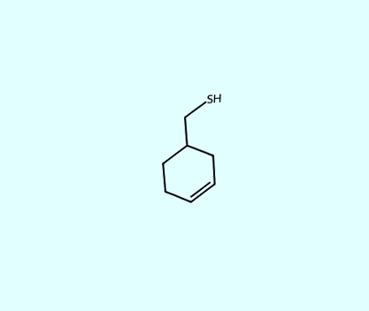 SCC1CC=CCC1